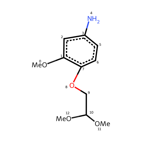 COc1cc(N)ccc1OCC(OC)OC